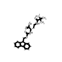 CC(C)(C)C(=O)NCC[C@H](NC(=O)OCC1c2ccccc2-c2ccccc21)C(=O)O